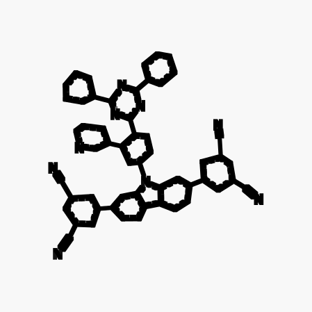 N#Cc1cc(C#N)cc(-c2ccc3c4ccc(-c5cc(C#N)cc(C#N)c5)cc4n(-c4ccc(-c5nc(-c6ccccc6)nc(-c6ccccc6)n5)c(-c5cccnc5)c4)c3c2)c1